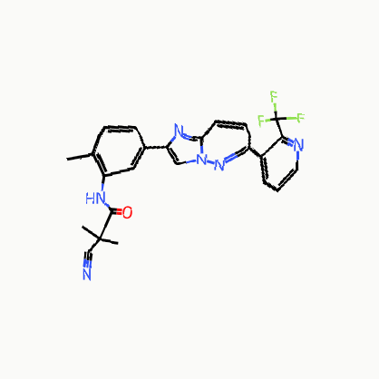 Cc1ccc(-c2cn3nc(-c4cccnc4C(F)(F)F)ccc3n2)cc1NC(=O)C(C)(C)C#N